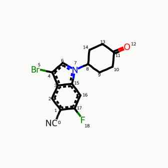 N#Cc1cc2c(Br)cn(C3CCC(=O)CC3)c2cc1F